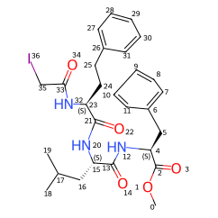 COC(=O)[C@H](Cc1ccccc1)NC(=O)[C@H](CC(C)C)NC(=O)[C@H](CCc1ccccc1)NC(=O)CI